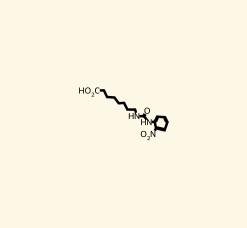 O=C(O)CCCCCCCNC(=O)Nc1ccccc1[N+](=O)[O-]